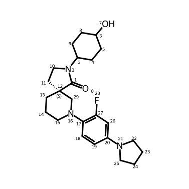 O=C1N(C2CCC(O)CC2)CC[C@]12CCCN(c1ccc(N3CCCC3)cc1F)C2